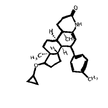 Cc1ccc(C2C=C3NC(=O)CC[C@]3(C)[C@@H]3CC[C@]4(C)C(OC5CC5)CC[C@H]4[C@H]23)cc1